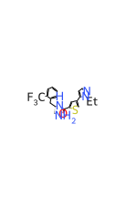 CCn1nccc1-c1csc(C(=O)N[C@H](CN)Cc2ccccc2C(F)(F)F)c1